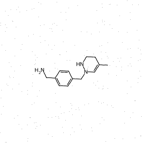 CC1=CN(Cc2ccc(CN)cc2)NCC1